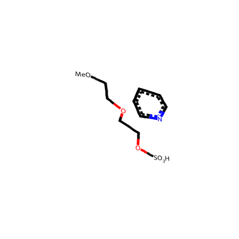 COCCOCCOS(=O)(=O)O.c1ccncc1